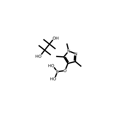 CC(C)(O)C(C)(C)O.Cc1nn(C)c(C)c1OB(O)O